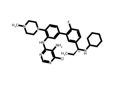 CC[C@H](NC1CCCCC1)c1ccc(F)c(-c2ccc(N3CCN(C)CC3)c(Nc3ncnc(Cl)c3N)c2)c1